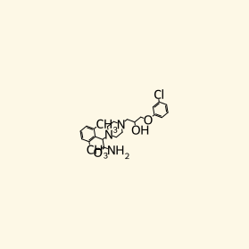 Cc1cccc(C)c1C(C(N)=O)N1CCN(CC(O)COc2cccc(Cl)c2)CC1